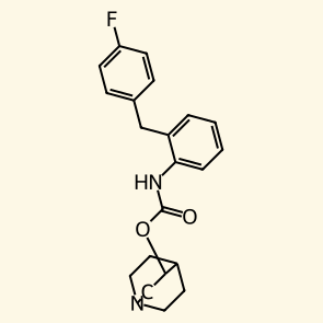 O=C(Nc1ccccc1Cc1ccc(F)cc1)OC1CN2CCC1CC2